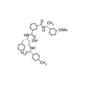 COc1cccc([C@@H](C)NC(=O)c2cccc(C(=O)N[C@@H](Cc3ccccc3)[C@H](O)CN[C@H](C)c3ccc(C)cc3)c2)c1